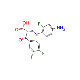 Nc1ccc(-n2cc(C(=O)O)c(=O)c3cc(F)c(F)cc32)c(F)c1